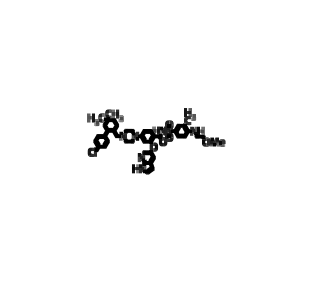 COCCNc1ccc(S(=O)(=O)NC(=O)c2ccc(N3CCN(CC4=C(c5ccc(Cl)cc5)CC(C)(C)CC4)CC3)cc2Oc2cnc3[nH]ccc3c2)cc1C